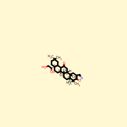 CC1(C)CC[C@]2(C(O)CO)CC[C@]3(C)C(C(=O)C[C@@H]4C5(C)Cc6cnoc6C(C)(C)[C@@H]5CCC43C)C2C1